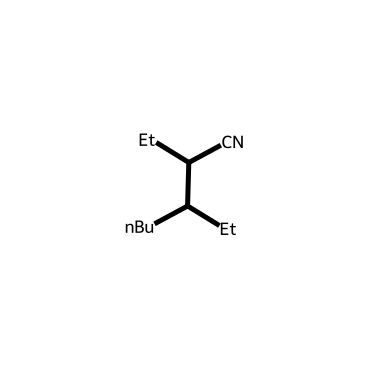 CCCCC(CC)C(C#N)CC